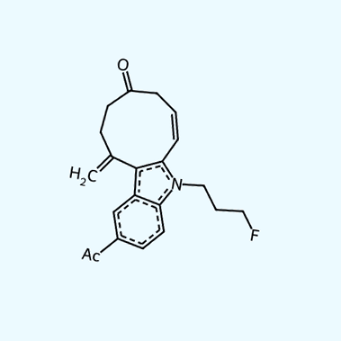 C=C1CCC(=O)C/C=C\c2c1c1cc(C(C)=O)ccc1n2CCCF